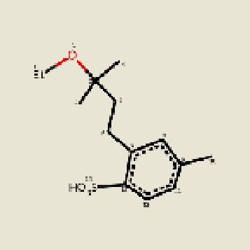 CCOC(C)(C)CCc1cc(C)ccc1S(=O)(=O)O